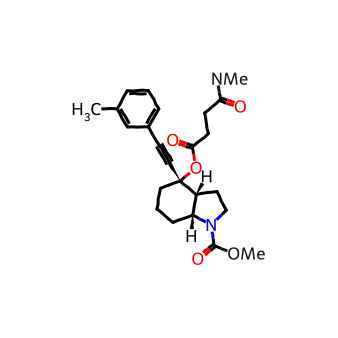 CNC(=O)CCC(=O)O[C@@]1(C#Cc2cccc(C)c2)CCC[C@@H]2[C@H]1CCN2C(=O)OC